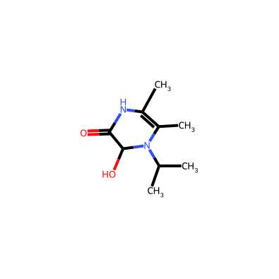 CC1=C(C)N(C(C)C)C(O)C(=O)N1